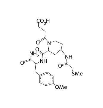 COc1ccc(CC(NC(=O)C2CC(NC(=O)CSC)CCN2C(=O)CCC(=O)O)C(N)=O)cc1